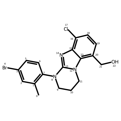 Cc1cc(Br)ccc1N1CCCn2c1nc1c(Cl)ccc(CO)c12